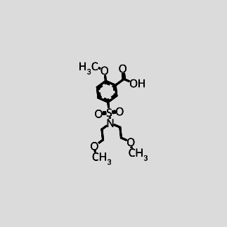 COCCN(CCOC)S(=O)(=O)c1ccc(OC)c(C(=O)O)c1